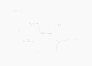 CC1c2cc(C(=O)O)ccc2OCCN1C(=O)O